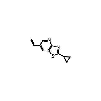 C=Cc1cnc2nc(C3CC3)sc2c1